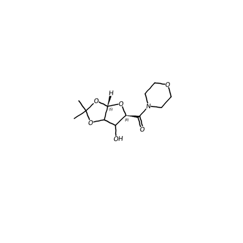 CC1(C)OC2C(O)[C@H](C(=O)N3CCOCC3)O[C@H]2O1